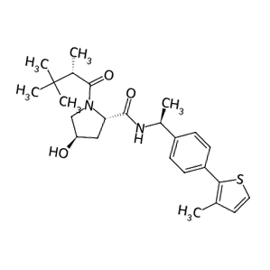 Cc1ccsc1-c1ccc([C@H](C)NC(=O)[C@@H]2C[C@@H](O)CN2C(=O)[C@@H](C)C(C)(C)C)cc1